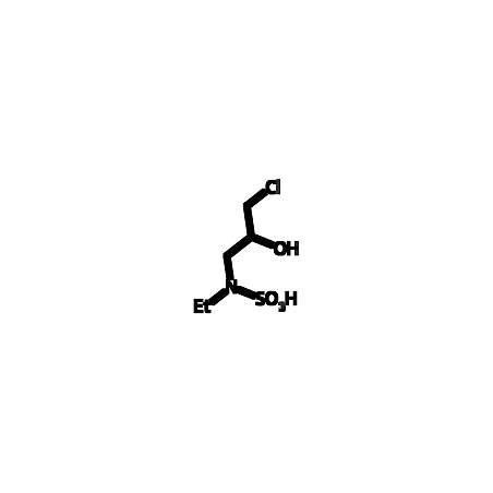 CCN(CC(O)CCl)S(=O)(=O)O